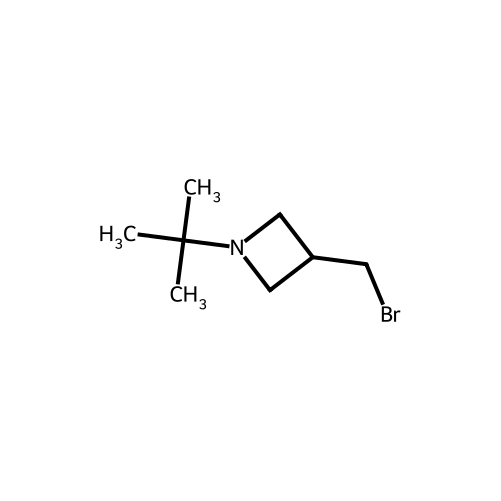 CC(C)(C)N1CC(CBr)C1